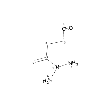 C=C(CCC=O)N(N)N